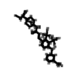 COC(=O)C12CCC(NC(=O)/C=C/c3ccc(Sc4cccc(N)c4)c(C(F)(F)F)c3C(F)(F)F)(CC1)CC2